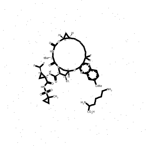 CC[C@@H]1[C@@H]2CN(C(=O)[C@H](C(C)(C)C)NC(=O)O[C@@H]3C[C@H]3CCCCC(F)(F)c3nc4ccc(OC)cc4nc3O2)[C@@H]1C(=O)N[C@]1(C(=O)NS(=O)(=O)C2(C)CC2)C[C@H]1C(F)F.NCCCCC(N)C(=O)O